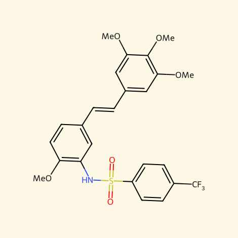 COc1ccc(C=Cc2cc(OC)c(OC)c(OC)c2)cc1NS(=O)(=O)c1ccc(C(F)(F)F)cc1